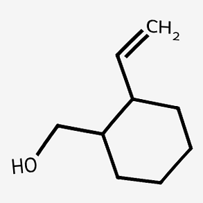 C=CC1CCCCC1CO